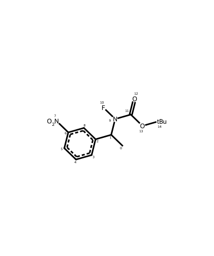 CC(c1cccc([N+](=O)[O-])c1)N(F)C(=O)OC(C)(C)C